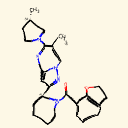 Cc1cn2nc([C@@H]3CCCCN3C(=O)c3cccc4c3OCC4)cc2nc1N1CC[C@H](C)C1